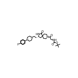 CC(C)(C)OC(=O)NCC(=O)N1CCC2(CC1)C[C@H](CCN1CCN(c3ccc(F)cc3)CC1)NC2=O